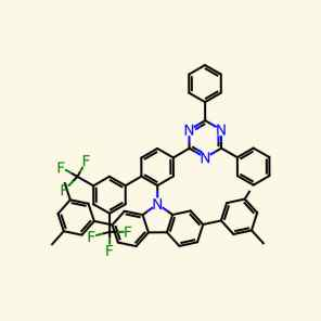 Cc1cc(C)cc(-c2ccc3c4ccc(-c5cc(C)cc(C)c5)cc4n(-c4cc(-c5nc(-c6ccccc6)nc(-c6ccccc6)n5)ccc4-c4cc(C(F)(F)F)cc(C(F)(F)F)c4)c3c2)c1